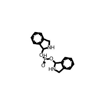 O=[PH](OC1NCc2ccccc21)OC1NCc2ccccc21